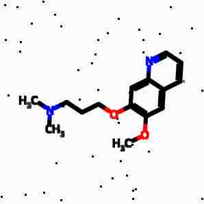 COc1cc2[c]ccnc2cc1OCCCN(C)C